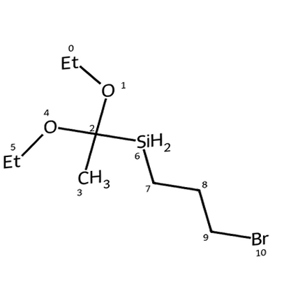 CCOC(C)(OCC)[SiH2]CCCBr